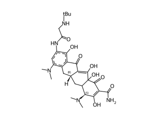 CN(C)c1cc(NC(=O)CNC(C)(C)C)c(O)c2c1C[C@H]1CC3[C@H](N(C)C)C(O)=C(C(N)=O)C(=O)C3(O)C(O)=C1C2=O